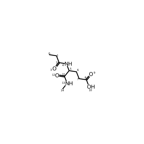 CCC(=O)NC(CCC(=O)O)C(=O)NC